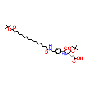 CC(C)(C)OC(=O)CCCCCCCCCCCCCCC(=O)NCc1ccc(C(=O)N[C@@H](CCC(=O)O)C(=O)OC(C)(C)C)cc1